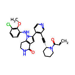 C=CC(=O)N1CCCC[C@@H]1C#Cc1cnccc1-c1cc2c(n1Nc1cccc(Cl)c1OC)CCNC2=O